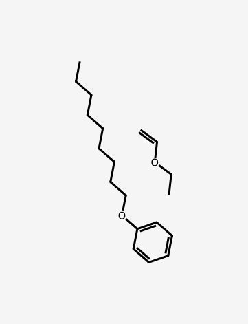 C=COCC.CCCCCCCCCOc1ccccc1